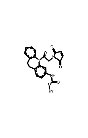 CC(C)OC(=O)Nc1ccc2c(c1)N(C(=O)CN1C(=O)C=CC1=O)c1ccccc1CC2